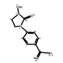 CC(=O)ON1CCN(c2ccc(C(=N)N)cc2)C1=O